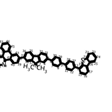 CC1(C)c2cc(-c3ccc(-c4ccc(-c5cccc6c5sc5ccccc56)cc4)cc3)ccc2-c2ccc(-c3ccc4c(c3)c3ccccc3c3nccnc43)cc21